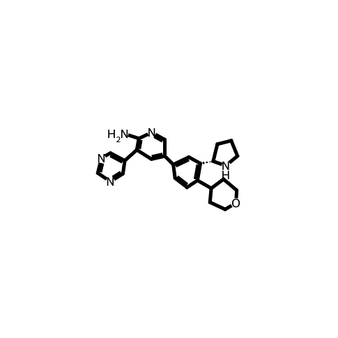 Nc1ncc(-c2ccc(C3CCOCC3)c([C@@H]3CCCN3)c2)cc1-c1cncnc1